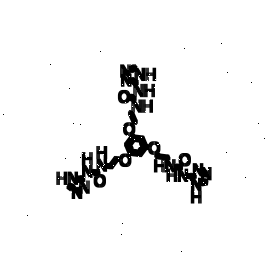 O=C(NCCOc1cc(OCCNC(=O)Nc2nnc[nH]2)cc(OCCNC(=O)Nc2nnc[nH]2)c1)Nc1nnc[nH]1